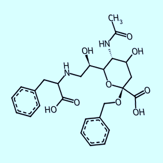 CC(=O)N[C@@H]1C(O)C[C@](OCc2ccccc2)(C(=O)O)OC1[C@H](O)CNC(Cc1ccccc1)C(=O)O